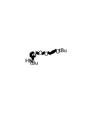 CC(C)(C)NCC1CCCN(CCOCCOCCC#CCOC(C)(C)C)C1